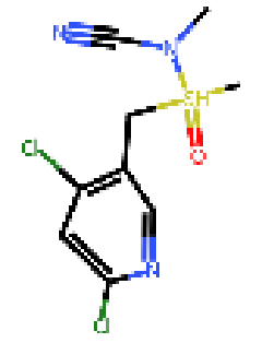 CN(C#N)[SH](C)(=O)Cc1cnc(Cl)cc1Cl